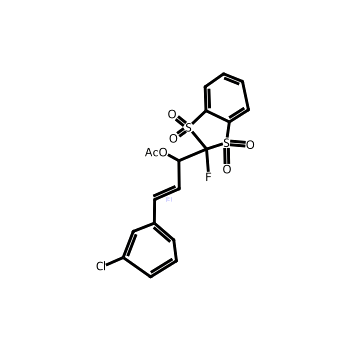 CC(=O)OC(/C=C/c1cccc(Cl)c1)C1(F)S(=O)(=O)c2ccccc2S1(=O)=O